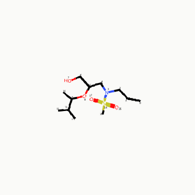 CCCN(CC(CO)OC(C)C(C)C)S(C)(=O)=O